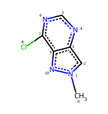 Cn1cc2ncnc(Cl)c2n1